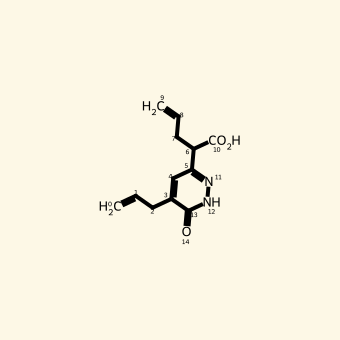 C=CCc1cc(C(CC=C)C(=O)O)n[nH]c1=O